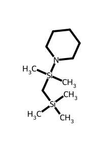 C[Si](C)(C)C[Si](C)(C)N1CCCCC1